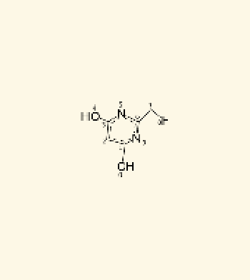 Oc1cc(O)nc(CF)n1